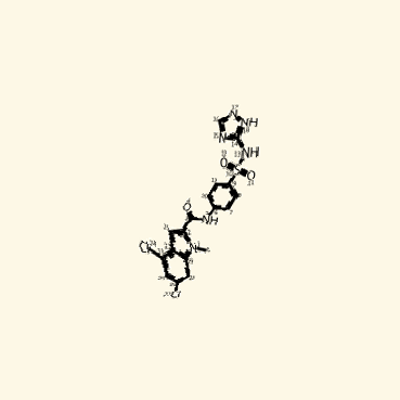 Cn1c(C(=O)Nc2ccc(S(=O)(=O)Nc3ncn[nH]3)cc2)cc2c(Cl)cc(Cl)cc21